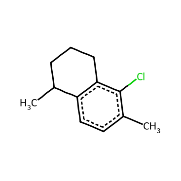 Cc1ccc2c(c1Cl)CCCC2C